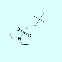 CCN(CC)S(=O)(=O)CCC(C)(C)C